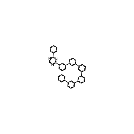 c1ccc(-c2cccc(-c3cccc(-c4cccc(-c5cccc(-c6cccc(-c7ncnc(-c8ccccc8)n7)c6)c5)c4)c3)c2)cc1